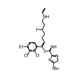 C=CNCCC(F)CC/C=C(/SC(=N)C1=NCC(C(C)(C)C)=N1)c1ccc(CC)c(Cl)c1Cl